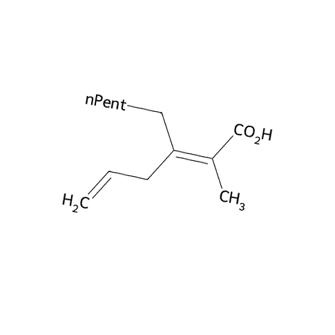 C=CC/C(CCCCCC)=C(\C)C(=O)O